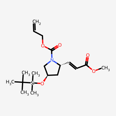 C=CCOC(=O)N1C[C@H](O[Si](C)(C)C(C)(C)C)C[C@H]1C=CC(=O)OC